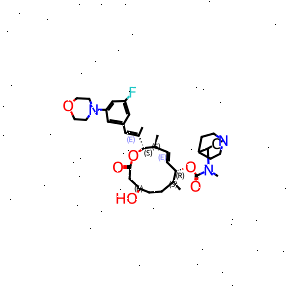 C/C(=C\c1cc(F)cc(N2CCOCC2)c1)[C@H]1OC(=O)C[C@H](O)CC[C@H](C)[C@@H](OC(=O)N(C)C2CN3CCC2CC3)/C=C/[C@@H]1C